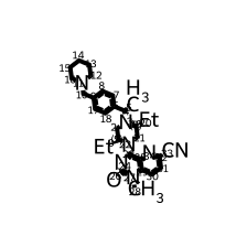 CC[C@H]1CN(C(C)c2ccc(CN3CCCCC3)cc2)[C@H](CC)CN1c1nc(=O)n(C)c2ccc(C#N)nc12